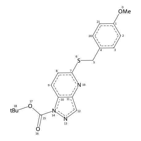 COc1ccc(CSc2ccc3c(cnn3C(=O)OC(C)(C)C)n2)cc1